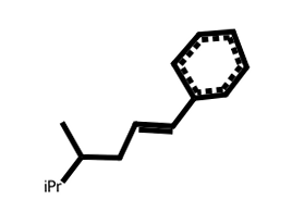 CC(C)C(C)CC=Cc1ccccc1